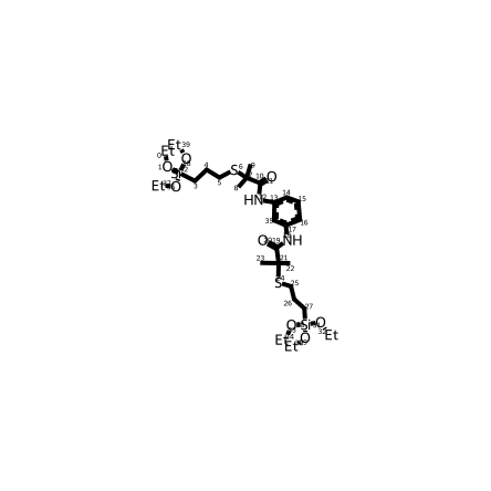 CCO[Si](CCCSC(C)(C)C(=O)Nc1cccc(NC(=O)C(C)(C)SCCC[Si](OCC)(OCC)OCC)c1)(OCC)OCC